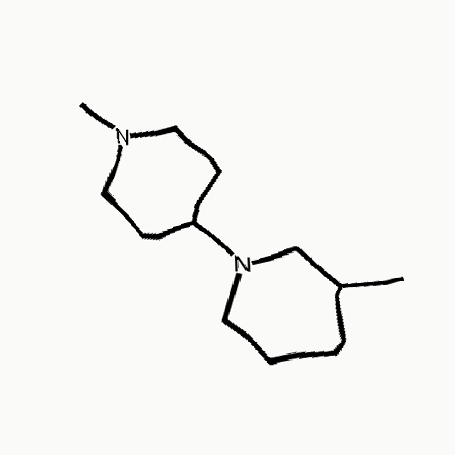 CC1CCCN(C2CCN(C)CC2)C1